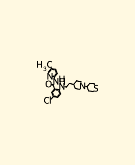 Cc1ccc(NC(=O)c2cc(Cl)ccc2NCCC2CCN(C3CCSCC3)CC2)nc1